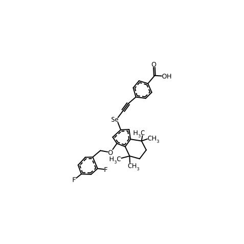 CC1(C)CCC(C)(C)c2c(OCc3ccc(F)cc3F)cc([Se]C#Cc3ccc(C(=O)O)cc3)cc21